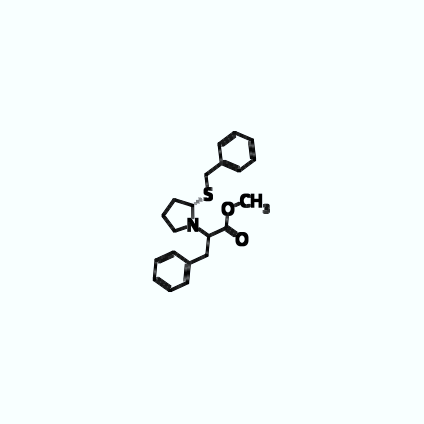 COC(=O)C(Cc1ccccc1)N1CCC[C@@H]1SCc1ccccc1